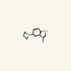 Cc1c[nH]c2ccc(N3CCC3)cc12